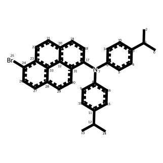 CC(C)c1ccc(N(c2ccc(C(C)C)cc2)c2ccc3ccc4c(Br)ccc5ccc2c3c54)cc1